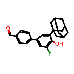 O=Cc1ccc(-c2cc(F)c(O)c(C34CC5CC(CC(C5)C3)C4)c2)cc1